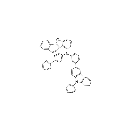 C1=Cc2c(n(-c3ccccc3)c3ccc(-c4cccc(N(c5ccc(-c6ccccc6)cc5)c5cccc6oc7c8ccccc8ccc7c56)c4)cc23)CC1